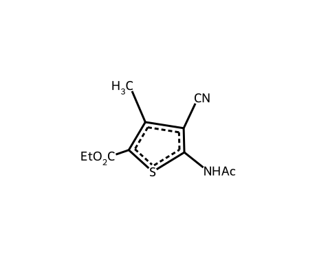 CCOC(=O)c1sc(NC(C)=O)c(C#N)c1C